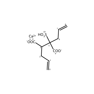 C=CCC(C(=O)[O-])C(CC=C)(C(=O)[O-])S(=O)(=O)O.[Ca+2]